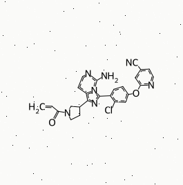 C=CC(=O)N1CCC(c2nc(-c3ccc(Oc4cc(C#N)ccn4)cc3Cl)n3c(N)nccc23)C1